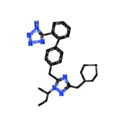 CCC(C)n1nc(CC2CCCCC2)nc1Cc1ccc(-c2ccccc2-c2nnn[nH]2)cc1